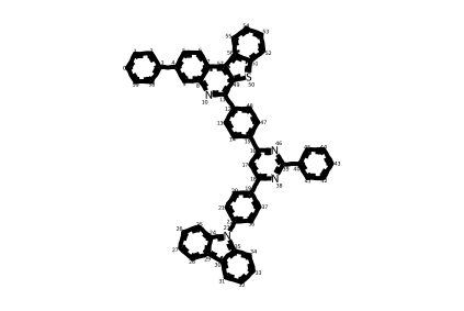 c1ccc(-c2ccc3c(c2)nc(-c2ccc(-c4cc(-c5ccc(-n6c7ccccc7c7ccccc76)cc5)nc(-c5ccccc5)n4)cc2)c2sc4ccccc4c23)cc1